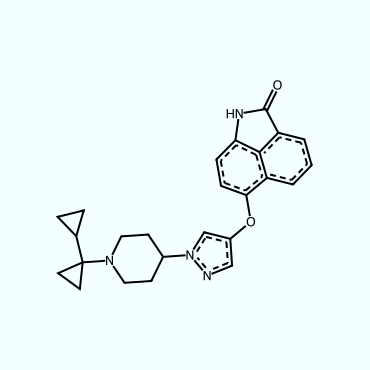 O=C1Nc2ccc(Oc3cnn(C4CCN(C5(C6CC6)CC5)CC4)c3)c3cccc1c23